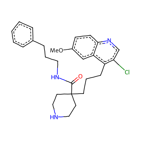 COc1ccc2ncc(Cl)c(CCCC3(C(=O)NCCCc4ccccc4)CCNCC3)c2c1